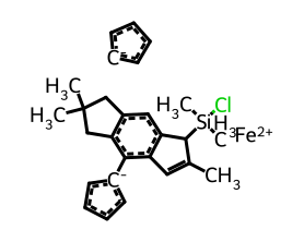 CC1=Cc2c(cc3c(c2-[c-]2cccc2)CC(C)(C)C3)C1[Si](C)(C)Cl.[Fe+2].c1cc[cH-]c1